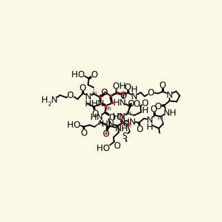 CSC[C@H](NC(=O)CNC(=O)[C@H](CC(C)C)NC(=O)C1CCCN1C(=O)COCCNC(=O)[C@H](Cc1ccc(C(C)=O)cc1)NC(=O)[C@@H](CCC(=O)O)NC(=O)[C@@H](CCC(=O)O)NC(=O)[C@@H](CCC(=O)O)NC(=O)[C@@H](CCC(=O)O)NC(=O)[C@@H](CCC(=O)O)NC(=O)COCCN)C(=O)NC(C)C